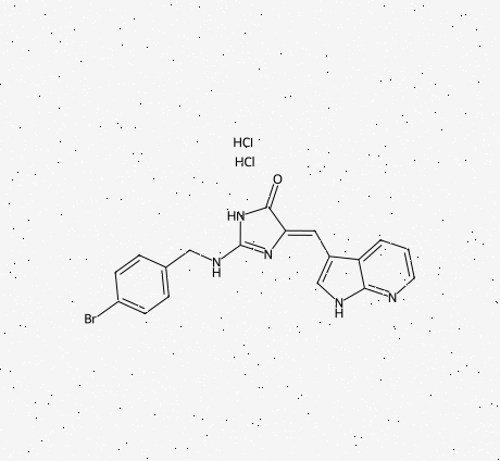 Cl.Cl.O=C1NC(NCc2ccc(Br)cc2)=N/C1=C\c1c[nH]c2ncccc12